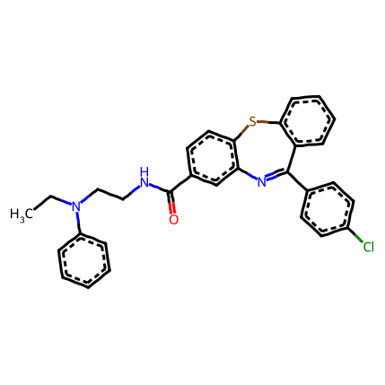 CCN(CCNC(=O)c1ccc2c(c1)N=C(c1ccc(Cl)cc1)c1ccccc1S2)c1ccccc1